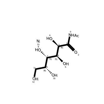 CC(=O)NC(=O)[C@H](O)[C@@H](O)[C@@H](O)[C@H](O)CO.[N]